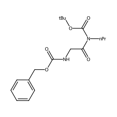 CCCN(C(=O)CNC(=O)OCc1ccccc1)C(=O)OC(C)(C)C